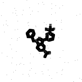 CC(=O)N1CCc2c(c(-c3cccc(C(F)(F)F)c3)nn2Cc2ccccc2)C1